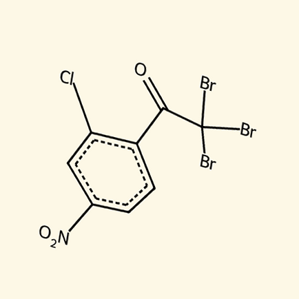 O=C(c1ccc([N+](=O)[O-])cc1Cl)C(Br)(Br)Br